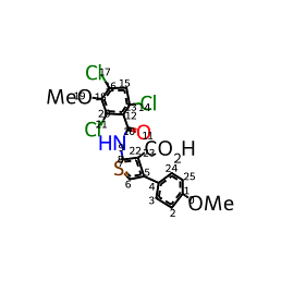 COc1ccc(-c2csc(NC(=O)c3c(Cl)cc(Cl)c(OC)c3Cl)c2C(=O)O)cc1